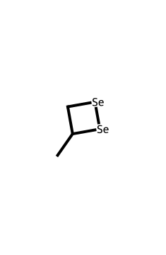 CC1C[Se][Se]1